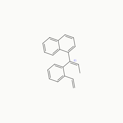 C=Cc1ccccc1/C(=C\C)c1cccc2ccccc12